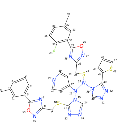 Cc1cccc(-c2nc(CSc3nncn3N(c3ccncc3)N(SCc3noc(-c4cc(C)ccc4F)n3)n3cnnc3-c3cccs3)no2)c1